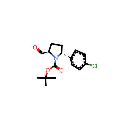 CC(C)(C)OC(=O)N1[C@@H](c2ccc(Cl)cc2)CC[C@@H]1C=O